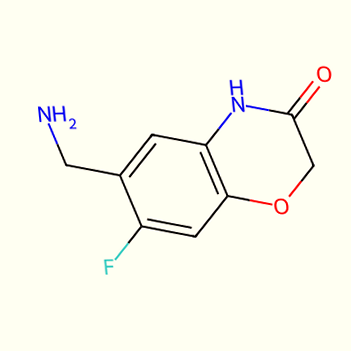 NCc1cc2c(cc1F)OCC(=O)N2